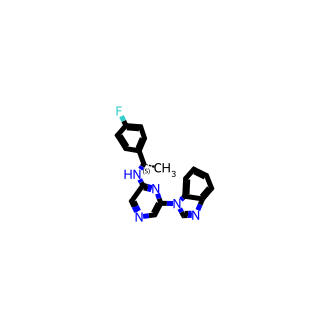 C[C@H](Nc1cncc(-n2cnc3ccccc32)n1)c1ccc(F)cc1